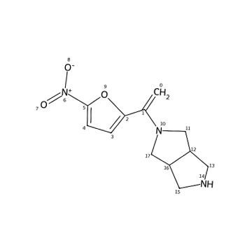 C=C(c1ccc([N+](=O)[O-])o1)N1CC2CNCC2C1